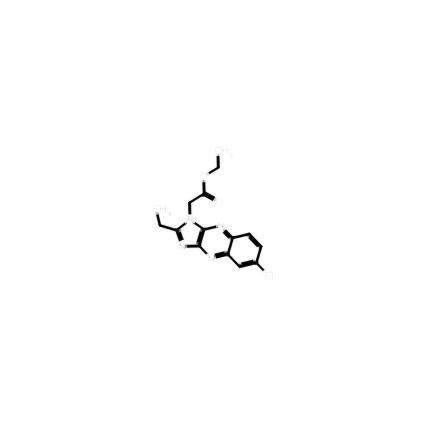 CCOC(=O)Cn1c(CC)nc2nc3cc(Cl)ccc3nc21